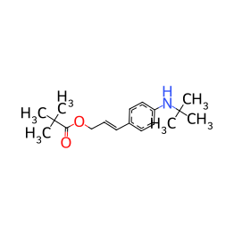 CC(C)(C)Nc1ccc(/C=C/COC(=O)C(C)(C)C)cc1